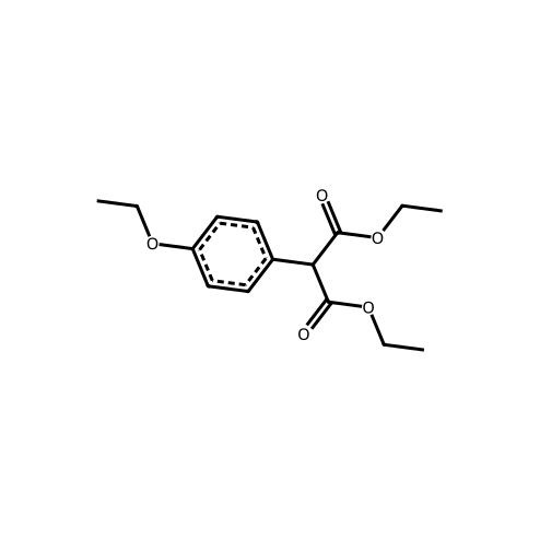 CCOC(=O)C(C(=O)OCC)c1ccc(OCC)cc1